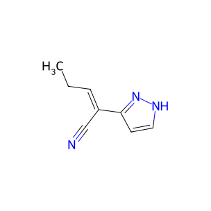 CCC=C(C#N)c1cc[nH]n1